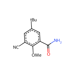 COc1c(C#N)cc(C(C)(C)C)cc1C(N)=O